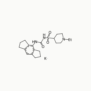 CCN1CCC(S(=O)(=O)NC(=O)Nc2c3c(cc4c2CCC4)CCC3)CC1.[K]